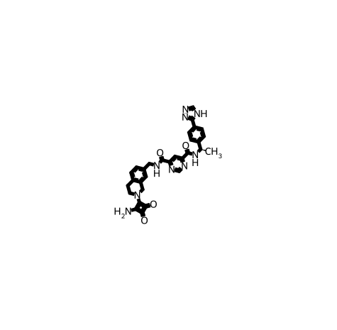 C[C@H](NC(=O)c1cc(C(=O)NCc2ccc3c(c2)CN(c2c(N)c(=O)c2=O)CC3)ncn1)c1ccc(-c2nnc[nH]2)cc1